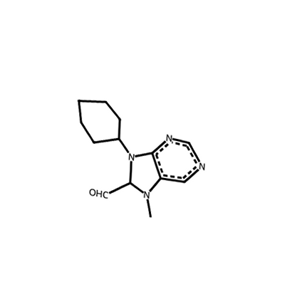 CN1c2cncnc2N(C2CCCCC2)C1C=O